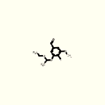 CCOC(C)Oc1cc(C=O)cc(OC)c1I